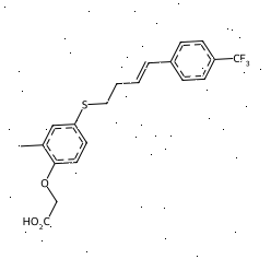 Cc1cc(SCC/C=C/c2ccc(C(F)(F)F)cc2)ccc1OCC(=O)O